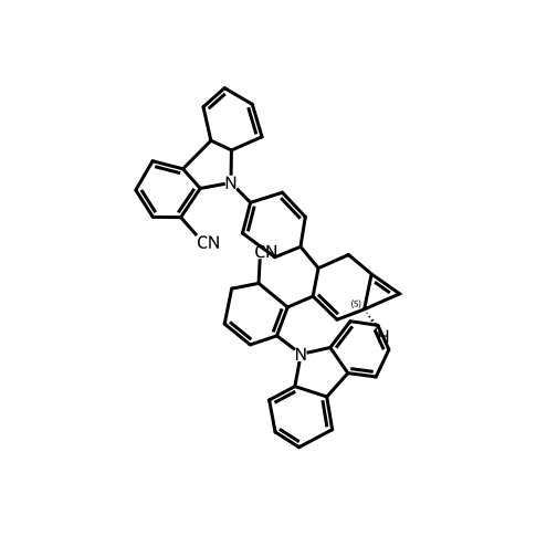 N#Cc1cccc2c1N(C1=CCC(C3CC4=C[C@H]4C=C3C3=C(n4c5ccccc5c5ccccc54)C=CCC3C#N)C=C1)C1C=CC=CC21